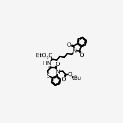 CCOC(=O)[C@@H](CCCCCN1C(=O)c2ccccc2C1=O)N[C@H]1CSc2ccccc2N(CC(=O)OC(C)(C)C)C1=O